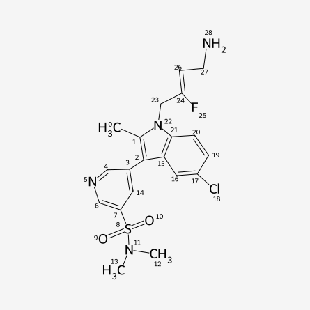 Cc1c(-c2cncc(S(=O)(=O)N(C)C)c2)c2cc(Cl)ccc2n1C/C(F)=C/CN